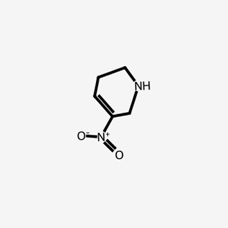 O=[N+]([O-])C1=CCCNC1